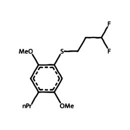 CCCc1cc(OC)c(SCCC(F)F)cc1OC